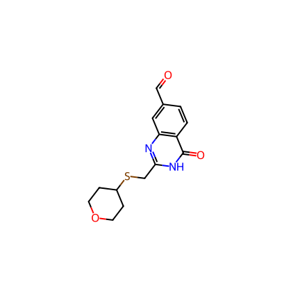 O=Cc1ccc2c(=O)[nH]c(CSC3CCOCC3)nc2c1